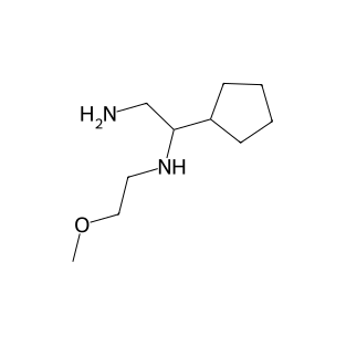 COCCNC(CN)C1CCCC1